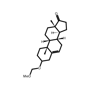 COCOC1CC[C@@]2(C)C(=CC[C@@H]3[C@H]2CC[C@]2(C)C(=O)CC[C@@H]32)C1